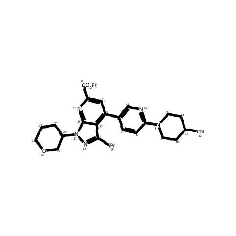 CCOC(=O)c1cc(-c2ccc(N3CCC(C#N)CC3)nc2)c2c(C(C)C)nn(C3CCCOC3)c2n1